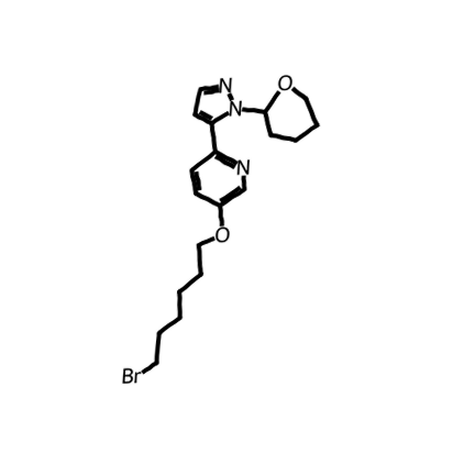 BrCCCCCCOc1ccc(-c2ccnn2C2CCCCO2)nc1